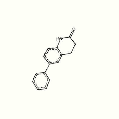 O=C1CCc2cc(-c3ccccc3)ccc2N1